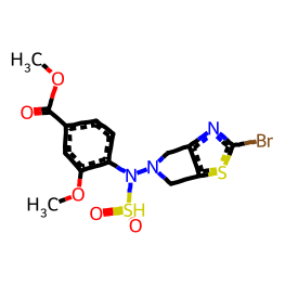 COC(=O)c1ccc(N(N2Cc3nc(Br)sc3C2)[SH](=O)=O)c(OC)c1